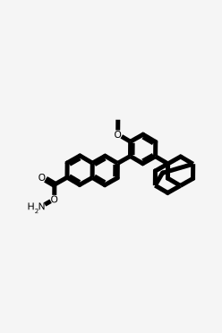 COc1ccc(C23CC4CC(CC(C4)C2)C3)cc1-c1ccc2cc(C(=O)ON)ccc2c1